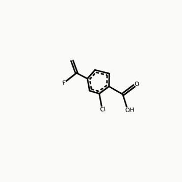 C=C(F)c1ccc(C(=O)O)c(Cl)c1